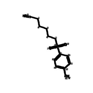 CCCCCCCCCCCCCCS(=O)(=O)c1ccc(C)cc1